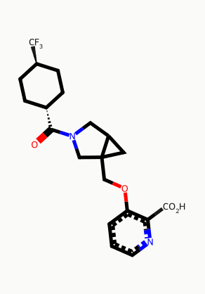 O=C(O)c1ncccc1OCC12CC1CN(C(=O)[C@H]1CC[C@H](C(F)(F)F)CC1)C2